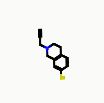 C#CCN1CCc2ccc(S)cc2C1